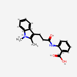 Cc1c(CCC(=O)Nc2ccccc2C(=O)O)c2ccccc2n1C